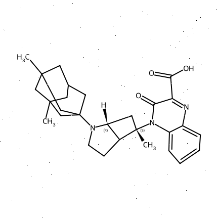 CC12CC3CC(C)(C1)CC(N1CCC4[C@H]1C[C@]4(C)n1c(=O)c(C(=O)O)nc4ccccc41)(C3)C2